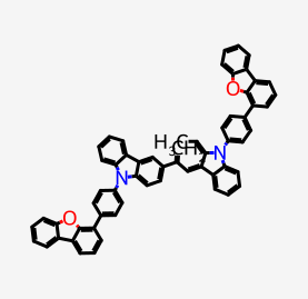 C=C(/C=c1\c(=C/C)n(-c2ccc(-c3cccc4c3oc3ccccc34)cc2)c2ccccc12)c1ccc2c(c1)c1ccccc1n2-c1ccc(-c2cccc3c2oc2ccccc23)cc1